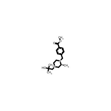 COC(=O)c1ccc(CN2CCN(CC(C)(C)O)C[C@@H]2C)cc1